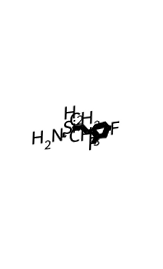 CC(C)(CCc1ccc(F)cc1F)[SiH2]CN